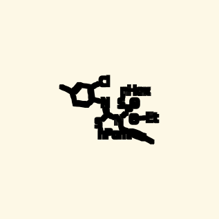 CC#CCN(C(=Nc1ccc(C)cc1Cl)SCCCCC)P(=O)(OCC)SCCCCCC